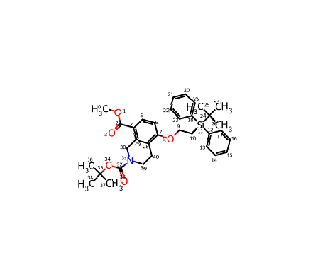 COC(=O)c1ccc(OCC[Si](c2ccccc2)(c2ccccc2)C(C)(C)C)c2c1CN(C(=O)OC(C)(C)C)CC2